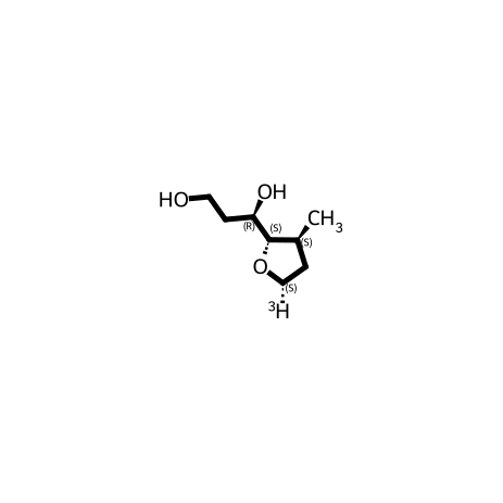 [3H][C@H]1C[C@H](C)[C@@H]([C@H](O)CCO)O1